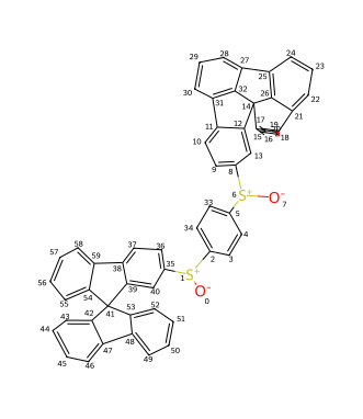 [O-][S+](c1ccc([S+]([O-])c2ccc3c(c2)C24c5ccccc5-c5cccc(c52)-c2cccc-3c24)cc1)c1ccc2c(c1)C1(c3ccccc3-c3ccccc31)c1ccccc1-2